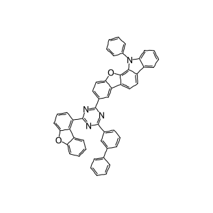 c1ccc(-c2cccc(-c3nc(-c4ccc5oc6c(ccc7c8ccccc8n(-c8ccccc8)c76)c5c4)nc(-c4cccc5oc6ccccc6c45)n3)c2)cc1